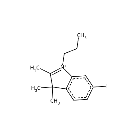 CCC[N+]1=C(C)C(C)(C)c2ccc(I)cc21